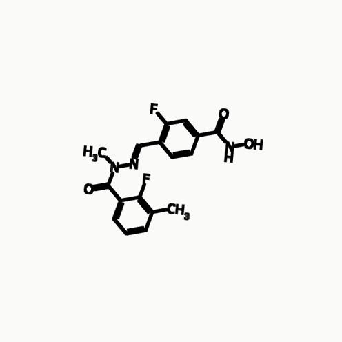 Cc1cccc(C(=O)N(C)N=Cc2ccc(C(=O)NO)cc2F)c1F